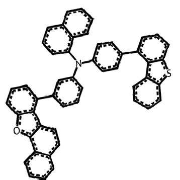 c1cc(-c2cccc3oc4c5ccccc5ccc4c23)cc(N(c2ccc(-c3cccc4sc5ccccc5c34)cc2)c2cccc3ccccc23)c1